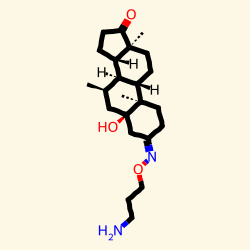 C[C@@H]1C[C@@]2(O)CC(=NOCCCN)CC[C@]2(C)[C@H]2CC[C@]3(C)C(=O)CC[C@H]3[C@H]12